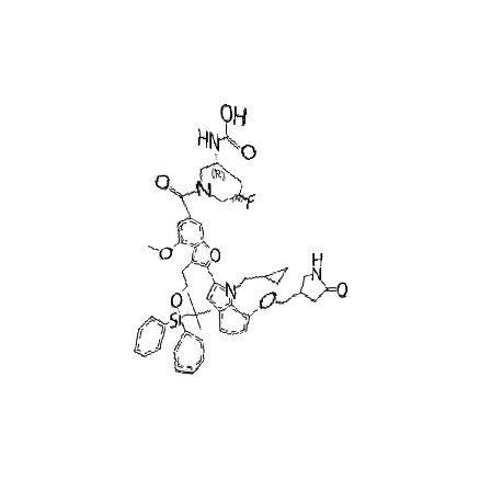 COc1cc(C(=O)N2C[C@H](F)C[C@@H](NC(=O)O)C2)cc2oc(-c3cc4cccc(OCC5CNC(=O)C5)c4n3CC3CC3)c(CCO[Si](c3ccccc3)(c3ccccc3)C(C)(C)C)c12